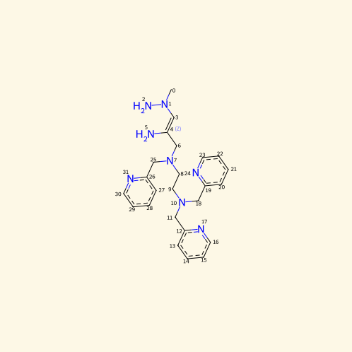 CN(N)/C=C(\N)CN(CCN(Cc1ccccn1)Cc1ccccn1)Cc1ccccn1